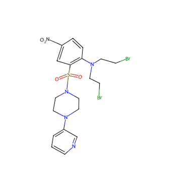 O=[N+]([O-])c1ccc(N(CCBr)CCBr)c(S(=O)(=O)N2CCN(c3cccnc3)CC2)c1